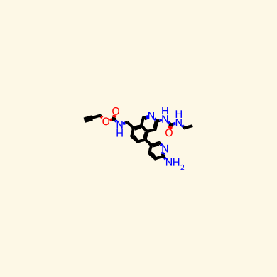 C#CCOC(=O)NCc1ccc(-c2ccc(N)nc2)c2cc(NC(=O)NCC)ncc12